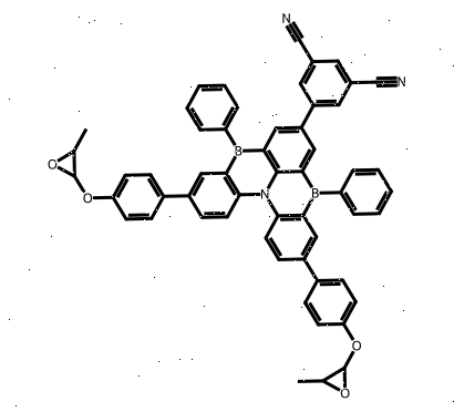 CC1OC1Oc1ccc(-c2ccc3c(c2)B(c2ccccc2)c2cc(-c4cc(C#N)cc(C#N)c4)cc4c2N3c2ccc(-c3ccc(OC5OC5C)cc3)cc2B4c2ccccc2)cc1